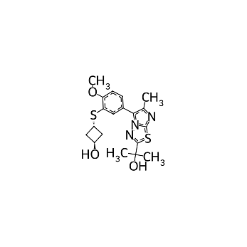 COc1ccc(-c2c(C)nc3sc(C(C)(C)O)nn23)cc1S[C@H]1C[C@H](O)C1